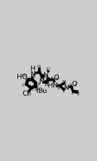 C=CC(=O)N1CC(NC(=O)c2cnc(C(C)Nc3cc(C(C)(C)C)c(Cl)cc3O)n2C)C1